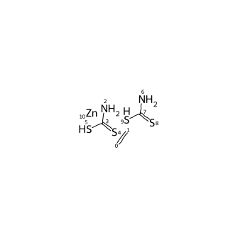 C=C.NC(=S)S.NC(=S)S.[Zn]